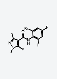 Cc1nn(C)c(F)c1C(=O)Nc1c(F)cc(F)cc1Br